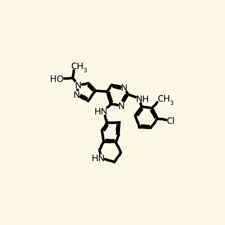 Cc1c(Cl)cccc1Nc1ncc(-c2cnn(C(C)O)c2)c(Nc2ccc3c(c2)CNCC3)n1